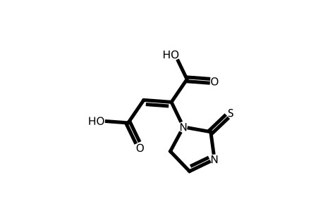 O=C(O)/C=C(/C(=O)O)N1CC=NC1=S